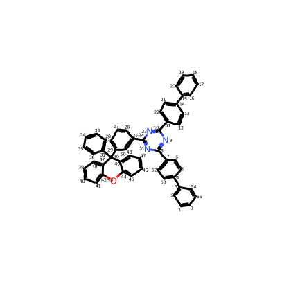 c1ccc(-c2ccc(-c3nc(-c4ccc(-c5ccccc5)cc4)nc(-c4cccc(C5(c6ccccc6)c6ccccc6Oc6ccccc65)c4)n3)cc2)cc1